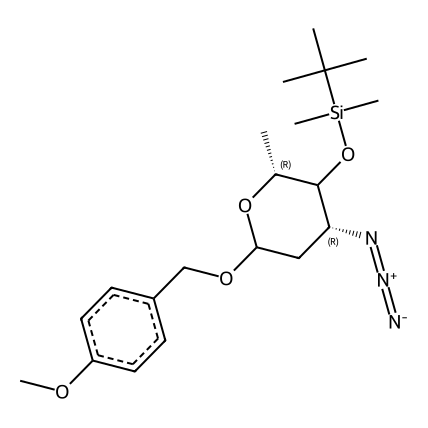 COc1ccc(COC2C[C@@H](N=[N+]=[N-])C(O[Si](C)(C)C(C)(C)C)[C@@H](C)O2)cc1